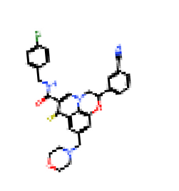 N#Cc1cccc(C2Cn3cc(C(=O)NCc4ccc(Cl)cc4)c(=S)c4cc(CN5CCOCC5)cc(c43)O2)c1